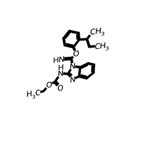 CCOC(=O)Nc1nc2ccccc2n1C(=N)Oc1ccccc1C(C)CC